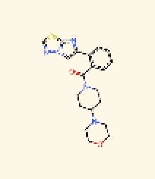 O=C(c1ccccc1-c1cn2ncsc2n1)N1CCC(N2CCOCC2)CC1